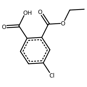 CCOC(=O)c1cc(Cl)ccc1C(=O)O